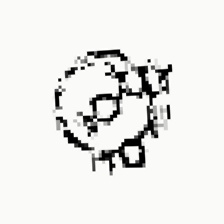 Cc1nc2c3c(n1)N(CCCOCCCCN1CC(C1)CC(F)(F)c1cccc(c1)[C@@H](C)N2)C(=O)N(C1CCS(=O)(=O)CC1)C3